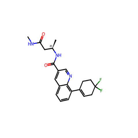 CNC(=O)C[C@@H](C)NC(=O)c1cnc2c(C3=CCC(F)(F)CC3)cccc2c1